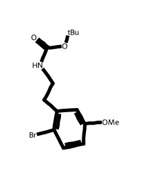 COc1ccc(Br)c(CCNC(=O)OC(C)(C)C)c1